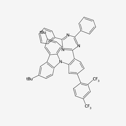 CC(C)(C)c1ccc2c(c1)c1cc(C(C)(C)C)ccc1n2-c1cc(-c2ccc(C(F)(F)F)cc2C(F)(F)F)ccc1-c1nc(-c2ccccc2)nc(-c2ccccc2)n1